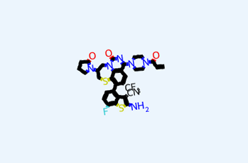 C=CC(=O)N1CCN(c2nc(=O)n3c4c(c(-c5ccc(F)c6sc(N)c(C#N)c56)c(C(F)(F)F)cc24)SCC(N2CCCC2=O)C3)CC1